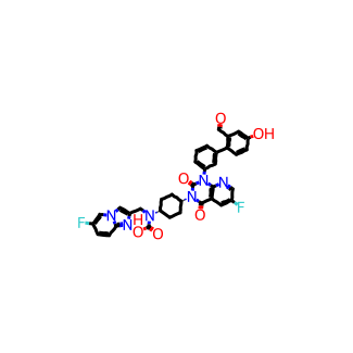 O=Cc1cc(O)ccc1-c1cccc(-n2c(=O)n([C@H]3CC[C@@H](N(Cc4cn5cc(F)ccc5n4)C(=O)O)CC3)c(=O)c3cc(F)cnc32)c1